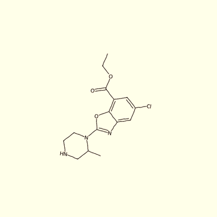 CCOC(=O)c1cc(Cl)cc2nc(N3CCNCC3C)oc12